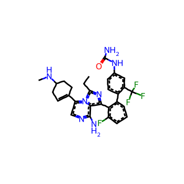 CCc1nc(-c2c(F)cccc2-c2ccc(NC(N)=O)cc2C(F)(F)F)c2c(N)ncc(C3=CCC(NC)CC3)n12